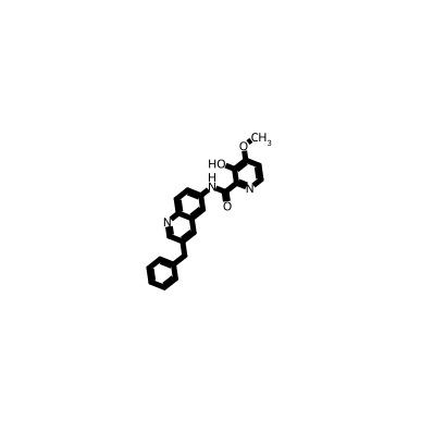 COc1ccnc(C(=O)Nc2ccc3ncc(Cc4ccccc4)cc3c2)c1O